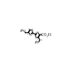 CCOC(=O)c1nc(-c2nc(CC(C)C)cs2)sc1CC(C)C